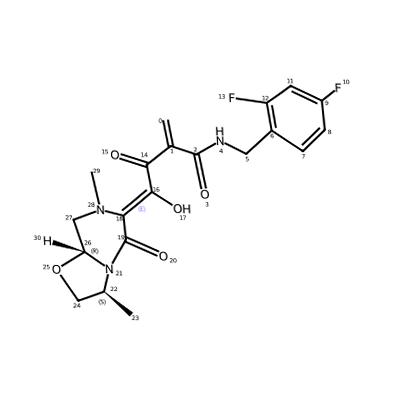 C=C(C(=O)NCc1ccc(F)cc1F)C(=O)/C(O)=C1/C(=O)N2[C@@H](C)CO[C@@H]2CN1C